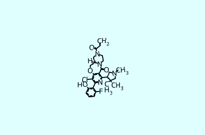 C=CC(=O)N1CCN2C(=O)c3c(C4CN(C)CC4(C)C)nc(-c4c(O)cccc4F)c(Cl)c3OC[C@H]2C1